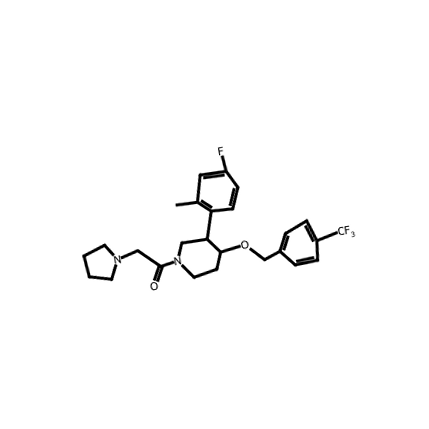 Cc1cc(F)ccc1C1CN(C(=O)CN2CCCC2)CCC1OCc1ccc(C(F)(F)F)cc1